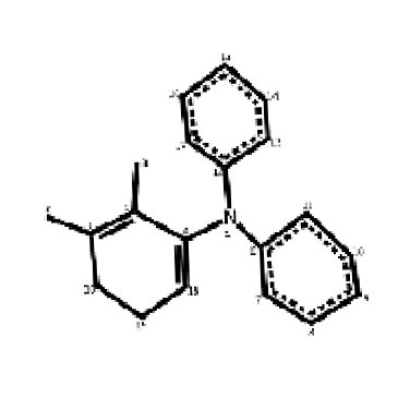 CC1=C(C)C(N(c2ccccc2)c2ccccc2)=CCC1